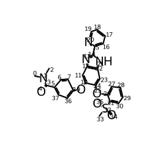 CN(C)C(=O)c1ccc(Oc2cc3nc(-c4ccccn4)[nH]c3cc2Oc2ccccc2S(C)(=O)=O)cc1